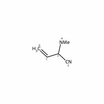 C=CC(C#N)NC